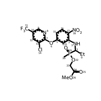 CCC(Nc1cc(Oc2ncc(C(F)(F)F)cc2Cl)ccc1[N+](=O)[O-])P(C)(=O)OCC(=O)OC